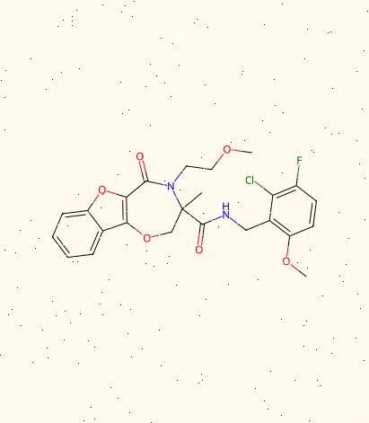 COCCN1C(=O)c2oc3ccccc3c2OCC1(C)C(=O)NCc1c(OC)ccc(F)c1Cl